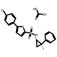 C[C@]1(c2ccccc2)C[C@@H]1NS(=O)(=O)c1ccc(-c2ccc(Cl)cc2)s1.O=C(O)O